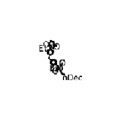 CCCCCCCCCC/C=C/C1CC(=O)N(c2ccc(Cc3ccc(N4C(=O)C=CC4=O)c(CC)c3)cc2CC)C1=O